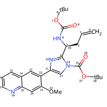 C=CC[C@H](NC(=O)OC(C)(C)C)c1nc(-c2cc3cccnc3cc2OC)cn1C(=O)OC(C)(C)C